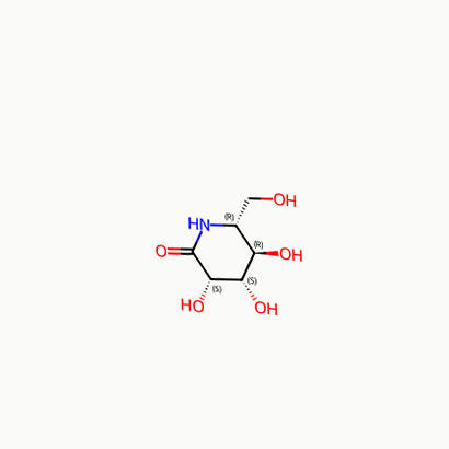 O=C1N[C@H](CO)[C@@H](O)[C@H](O)[C@@H]1O